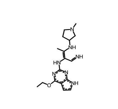 CCOc1nc(N/C(C=N)=C(\C)NC2CCN(C)C2)nc2[nH]ccc12